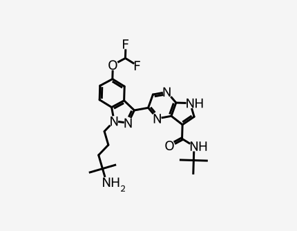 CC(C)(N)CCCn1nc(-c2cnc3[nH]cc(C(=O)NC(C)(C)C)c3n2)c2cc(OC(F)F)ccc21